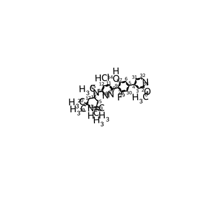 COc1cc(-c2cc(O)c(-c3ccc(N(C)C4CC(C)(C)NC(C)(C)C4)nn3)c(F)c2)ccn1.Cl